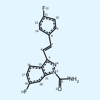 NC(=O)n1nc(C=Cc2ccc(F)cc2)c2c[c]c(F)cc21